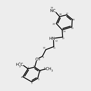 Cc1cccc(C)c1OCCCNCc1cccc(C#N)c1